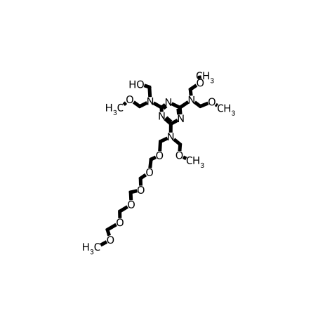 COCOCOCOCOCOCN(COC)c1nc(N(CO)COC)nc(N(COC)COC)n1